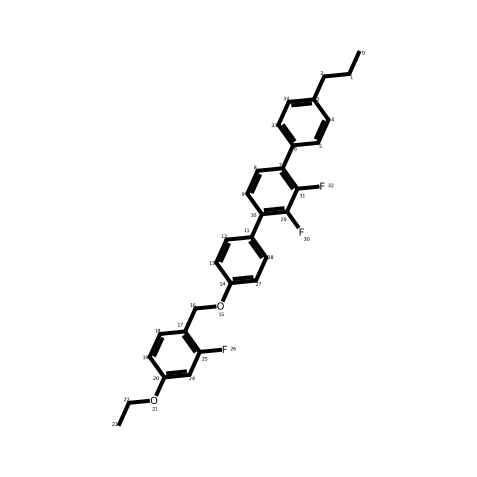 CCCc1ccc(-c2ccc(-c3ccc(OCc4ccc(OCC)cc4F)cc3)c(F)c2F)cc1